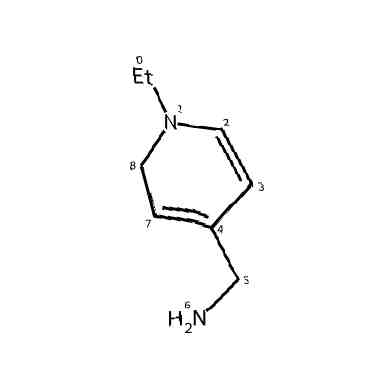 CCN1C=CC(CN)=CC1